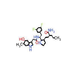 C=C/C=C(\C=C\c1cccnc1[C@H](Cc1cc(F)cc(F)c1)NC(=O)Cc1c[nH]c2cc(C)c(O)cc12)C(N)=O